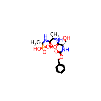 C[C@H](NC(=O)[C@H](CO)NC(=O)OCc1ccccc1)C(=O)N[C@@H](C)P(=O)(O)O